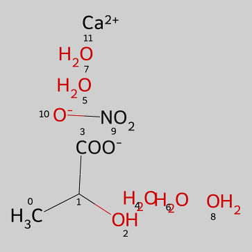 CC(O)C(=O)[O-].O.O.O.O.O.O=[N+]([O-])[O-].[Ca+2]